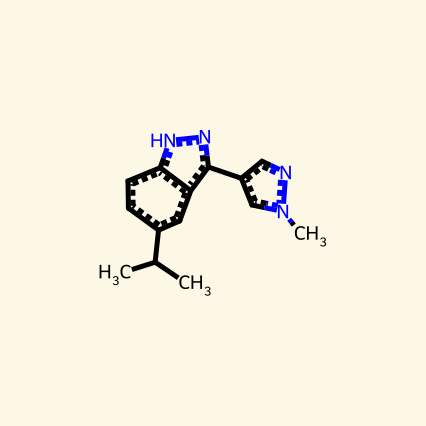 CC(C)c1ccc2[nH]nc(-c3cnn(C)c3)c2c1